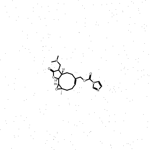 CN(C)CC1C(=O)O[C@H]2[C@H]1CC/C(COC(=O)n1ccnc1)=C\CC[C@@]1(C)O[C@@H]21